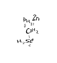 P.[CaH2].[SeH2].[Zn]